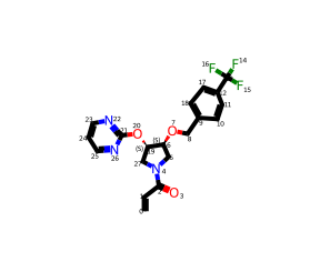 C=CC(=O)N1C[C@H](OCc2ccc(C(F)(F)F)cc2)[C@@H](Oc2ncccn2)C1